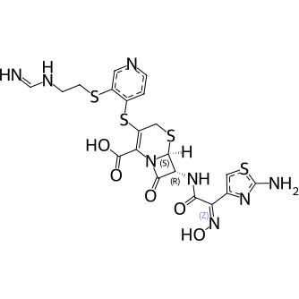 N=CNCCSc1cnccc1SC1=C(C(=O)O)N2C(=O)[C@@H](NC(=O)/C(=N\O)c3csc(N)n3)[C@@H]2SC1